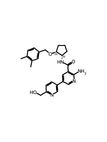 Cc1ccc(CO[C@H]2CCC[C@@H]2NC(=O)c2cc(-c3ccc(CO)nc3)cnc2N)cc1C